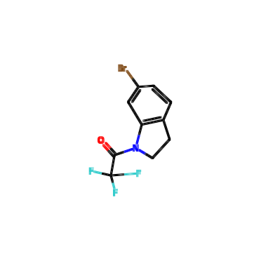 O=C(N1CCc2ccc(Br)cc21)C(F)(F)F